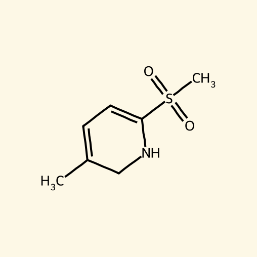 CC1=CC=C(S(C)(=O)=O)NC1